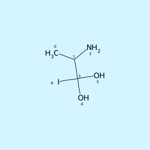 CC(N)C(O)(O)I